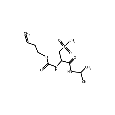 C=CCCOC(=O)NC(CS(C)(=O)=O)C(=O)NC(C)C#N